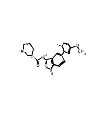 O=C(Nc1n[nH]c2ccc(-c3cc(OC(F)(F)F)ccc3F)cc12)[C@@H]1CCCNC1